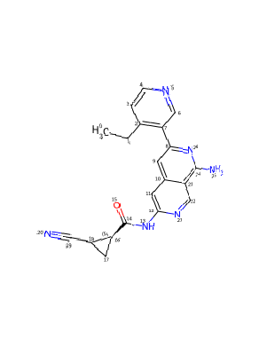 CCc1ccncc1-c1cc2cc(NC(=O)[C@H]3CC3C#N)ncc2c(N)n1